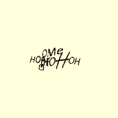 CC(C)(O)C(C)(C)O.COP(=O)(O)F